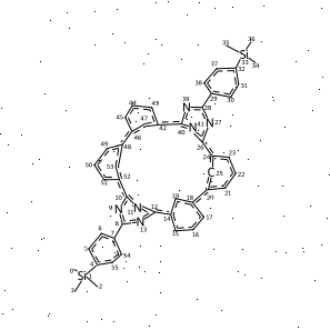 C[Si](C)(C)c1ccc(-c2nc3nc(n2)c2cccc(c2)c2cccc(c2)c2nc(-c4ccc([Si](C)(C)C)cc4)nc(n2)c2cccc(c2)c2cccc3c2)cc1